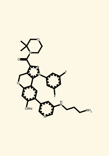 COc1cc2c(cc1-c1cncc(NCCCN)c1)-c1c(c(C(=O)N3CCOCC3(C)C)nn1-c1cc(F)cc(F)c1)CO2